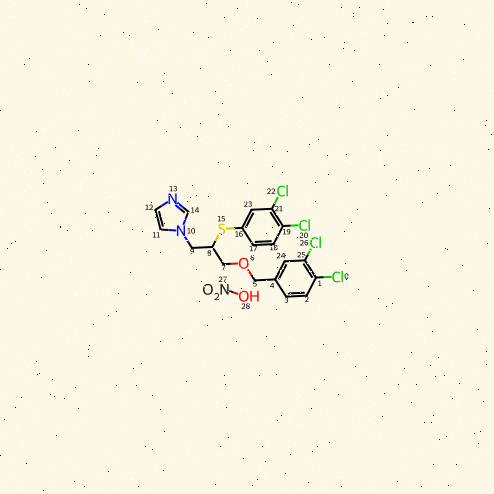 Clc1ccc(COCC(Cn2ccnc2)Sc2ccc(Cl)c(Cl)c2)cc1Cl.O=[N+]([O-])O